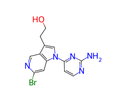 Nc1nccc(-n2cc(CCO)c3cnc(Br)cc32)n1